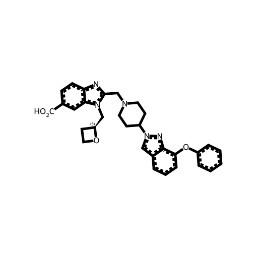 O=C(O)c1ccc2nc(CN3CCC(n4cc5cccc(Oc6ccccc6)c5n4)CC3)n(C[C@@H]3CCO3)c2c1